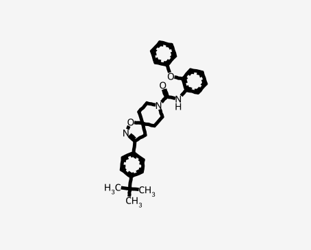 CC(C)(C)c1ccc(C2=NOC3(CCN(C(=O)Nc4ccccc4Oc4ccccc4)CC3)C2)cc1